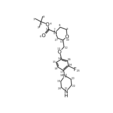 CC(C)(C)OC(=O)N1CCOC(COc2ccc(N3CCNCC3)c(F)c2)C1